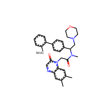 CC(=O)Nc1ccccc1-c1ccc(C(CN2CCOCC2)N(C)C(=O)Cn2c(=O)cnc3cc(C)c(C)cc32)cc1